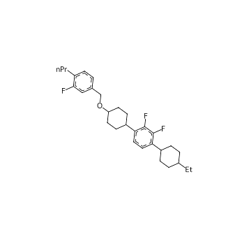 CCCc1ccc(COC2CCC(c3ccc(C4CCC(CC)CC4)c(F)c3F)CC2)cc1F